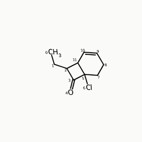 CCC1C(=O)C2(Cl)CCC=CC12